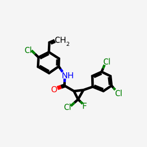 C=Cc1cc(NC(=O)C2C(c3cc(Cl)cc(Cl)c3)C2(F)Cl)ccc1Cl